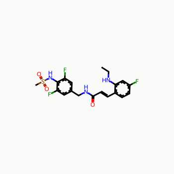 CCNc1cc(F)ccc1C=CC(=O)NCc1cc(F)c(NS(C)(=O)=O)c(F)c1